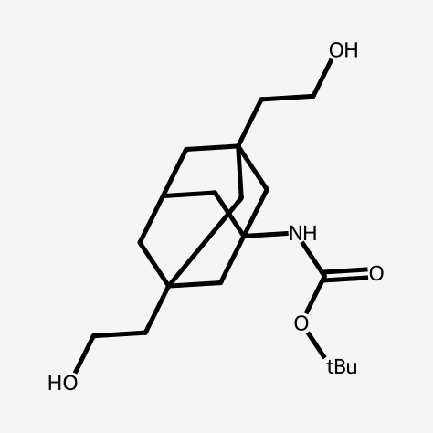 CC(C)(C)OC(=O)NC12CC3CC(CCO)(CC(CCO)(C3)C1)C2